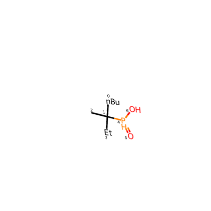 CCCCC(C)(CC)[PH](=O)O